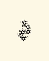 N#Cc1cccc(CS(=O)(=O)Nc2ccc(Oc3ncccc3-c3ccnc(NC4CCCNC4)n3)c(F)c2F)c1